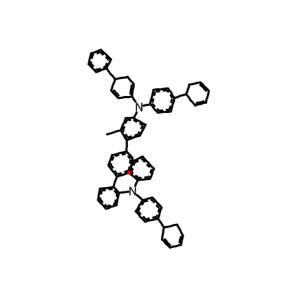 Cc1cc(N(C2=CCC(c3ccccc3)C=C2)c2ccc(C3C=CC=CC3)cc2)ccc1-c1ccc(-c2ccccc2N(c2ccccc2)c2ccc(C3C=CC=CC3)cc2)cc1